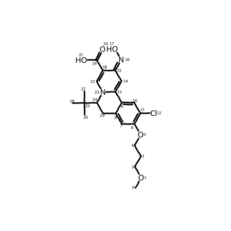 COCCCOc1cc2c(cc1Cl)-c1c/c(=N/O)c(C(=O)O)cn1C(C(C)(C)C)C2